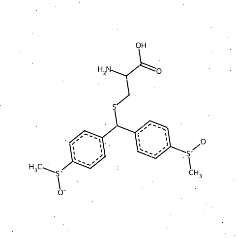 C[S+]([O-])c1ccc(C(SCC(N)C(=O)O)c2ccc([S+](C)[O-])cc2)cc1